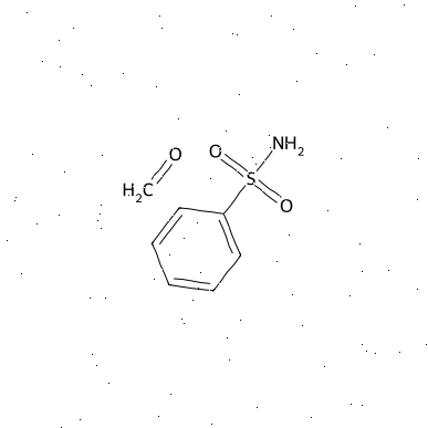 C=O.NS(=O)(=O)c1ccccc1